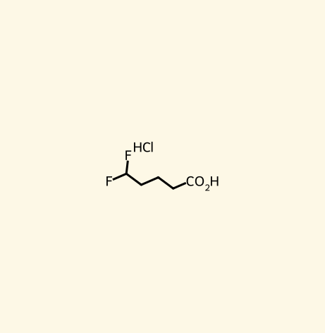 Cl.O=C(O)CCCC(F)F